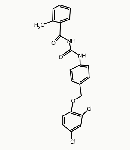 Cc1ccccc1C(=O)NC(=O)Nc1ccc(COc2ccc(Cl)cc2Cl)cc1